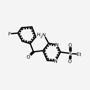 CCS(=O)(=O)c1ncc(C(=O)c2cccc(F)c2)c(N)n1